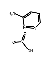 Nc1cccnn1.O=[N+]([O-])O